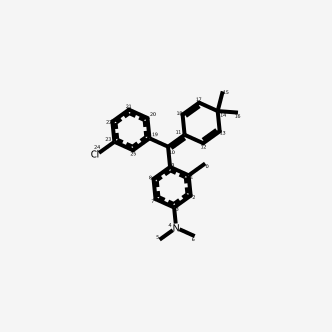 Cc1cc(N(C)C)ccc1C(=C1C=CC(C)(C)C=C1)c1cccc(Cl)c1